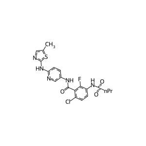 CCCS(=O)(=O)Nc1ccc(Cl)c(C(=O)Nc2ccc(Nc3ncc(C)s3)nc2)c1F